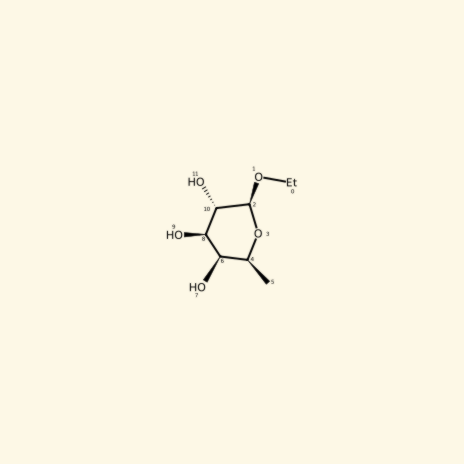 CCO[C@H]1O[C@@H](C)[C@@H](O)[C@@H](O)[C@@H]1O